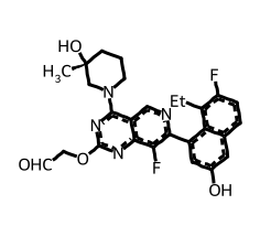 CCc1c(F)ccc2cc(O)cc(-c3ncc4c(N5CCC[C@@](C)(O)C5)nc(OCC=O)nc4c3F)c12